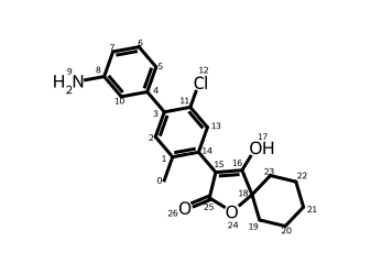 Cc1cc(-c2cccc(N)c2)c(Cl)cc1C1=C(O)C2(CCCCC2)OC1=O